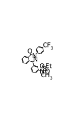 CCS(=O)(=O)N(C)c1cccc(-c2nn(-c3ccc(C(F)(F)F)cc3)c(=O)c3ccccc23)c1